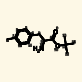 Cc1ccc(C[C@H](N)C(=O)OC(C)(C)C)cc1